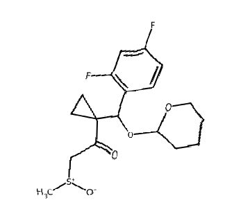 C[S+]([O-])CC(=O)C1(C(OC2CCCCO2)c2ccc(F)cc2F)CC1